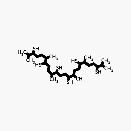 CC(C)C(S)CCC(C)C(S)CCC(C)C(S)CCC(S)C(C)CCC(S)C(C)CCC(S)C(C)C